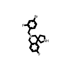 Fc1ccc2c(c1)C1(CCNC1)CN(Cc1ccc(Br)cc1F)C2